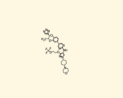 CC(Cn1cnnn1)Oc1cc(-c2cnc(Nc3cn(C4CCC(N5CCOCC5)CC4)nc3OCCOC(F)(F)F)nc2)ccc1Cl